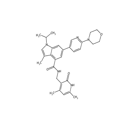 Cc1cc(C)c(CNC(=O)c2cc(-c3ccc(N4CCOCC4)nc3)cc3c2c(C)cn3C(C)C)c(=O)[nH]1